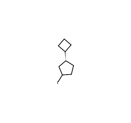 IC1CC[C@@H](C2CCC2)C1